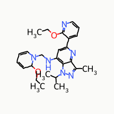 CCOc1ncccc1-c1cc(NCN2C=CC=CC2OCC)c2c(n1)c(C)nn2C(C)C